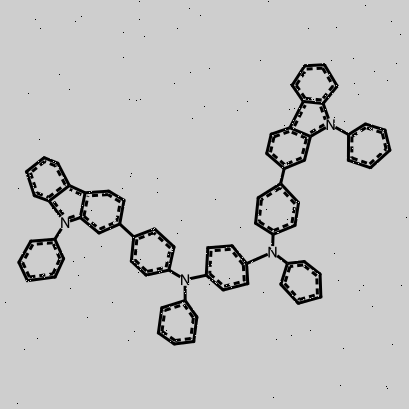 c1ccc(N(c2ccc(-c3ccc4c5ccccc5n(-c5ccccc5)c4c3)cc2)c2ccc(N(c3ccccc3)c3ccc(-c4ccc5c6ccccc6n(-c6ccccc6)c5c4)cc3)cc2)cc1